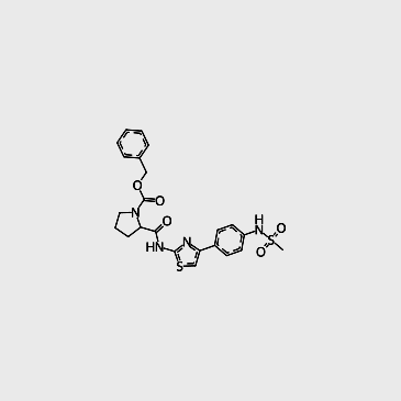 CS(=O)(=O)Nc1ccc(-c2csc(NC(=O)C3CCCN3C(=O)OCc3ccccc3)n2)cc1